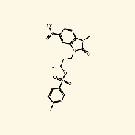 Cc1ccc(S(=O)(=O)O[C@H](C)CCn2c(=O)n(C)c3ccc([N+](=O)[O-])cc32)cc1